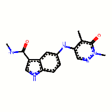 CNC(=O)c1c[nH]c2ccc(Nc3cnn(C)c(=O)c3C)cc12